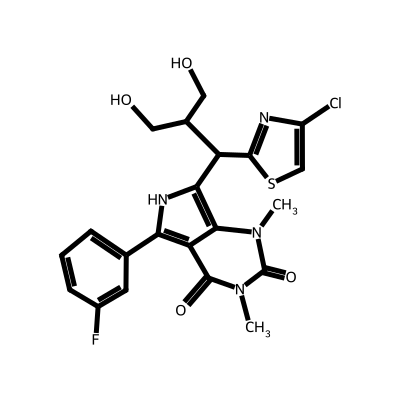 Cn1c(=O)c2c(-c3cccc(F)c3)[nH]c(C(c3nc(Cl)cs3)C(CO)CO)c2n(C)c1=O